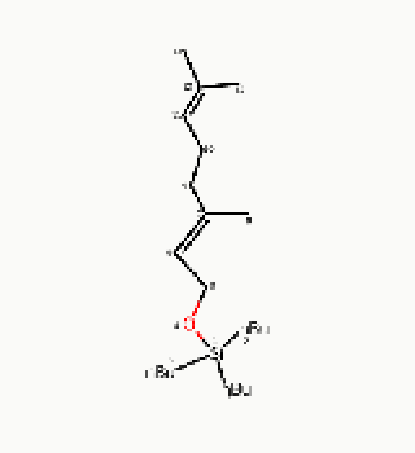 CCCC[Si](CCCC)(CCCC)OC/C=C(\C)CCC=C(C)C